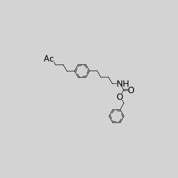 CC(=O)CCCc1ccc(CCCCNC(=O)OCc2ccccc2)cc1